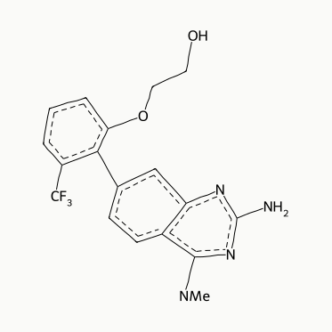 CNc1nc(N)nc2cc(-c3c(OCCO)cccc3C(F)(F)F)ccc12